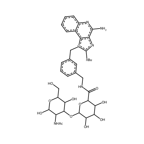 CCCCc1nc2c(N)nc3ccccc3c2n1Cc1cccc(CNC(=O)C2OC(OC3C(O)C(CO)OC(O)C3NC(C)=O)C(O)C(O)C2O)c1